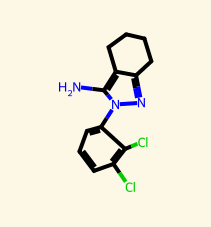 Nc1c2c(nn1-c1cccc(Cl)c1Cl)CCCC2